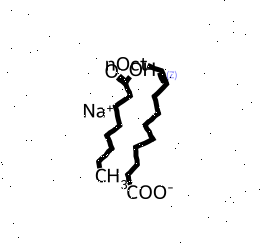 CCCCCCCC(=O)O.CCCCCCCC/C=C\CCCCCCCC(=O)[O-].[Na+]